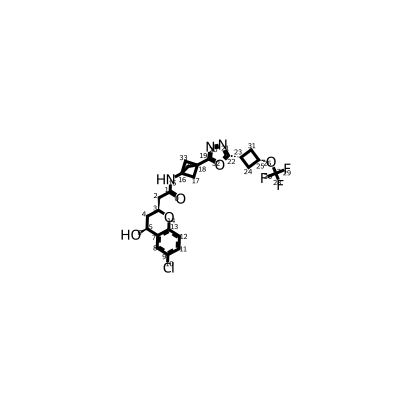 O=C(C[C@@H]1C[C@H](O)c2cc(Cl)ccc2O1)NC12CC(c3nnc([C@H]4C[C@@H](OC(F)(F)F)C4)o3)(C1)C2